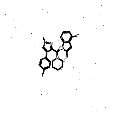 Cn1cc(-c2ccc(F)cc2)c(C(=O)N2CCCC[C@H]2Cc2cc3c(F)cccc3o2)n1